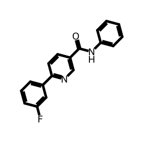 O=C(Nc1ccccc1)c1ccc(-c2cccc(F)c2)nc1